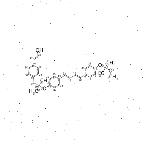 COC(C)(C)Oc1ccc(C=CC=Cc2ccc(OC(C)(C)Cc3ccc(C=CO)cc3)cc2)cc1